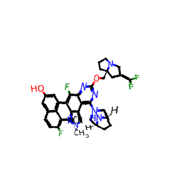 C#Cc1c(F)ccc2cc(O)cc(-c3c(F)c4nc(OC[C@@]56CCCN5CC(=C(F)F)C6)nc(N5C[C@H]6CC[C@@H](C5)N6)c4c4cn(C)nc34)c12